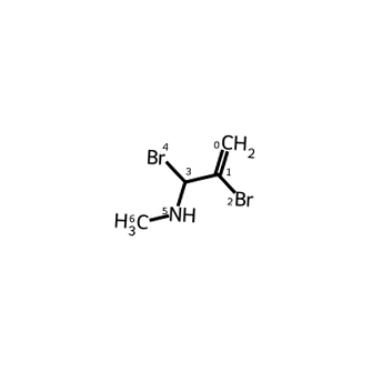 C=C(Br)C(Br)NC